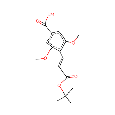 COc1cc(C(=O)O)cc(OC)c1C=CC(=O)OC(C)(C)C